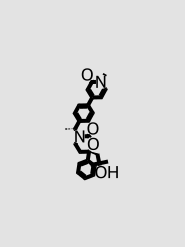 C[C@H](c1ccc(-c2ccn(C)c(=O)c2)cc1)N1CC[C@@](CC(C)(C)O)(c2ccccc2)OC1=O